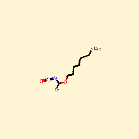 CCCCCCCCCCCCCCOC(CC)N=C=O